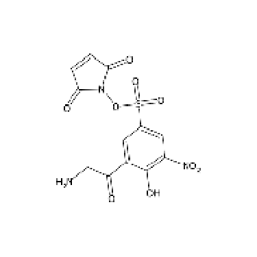 NCC(=O)c1cc(S(=O)(=O)ON2C(=O)C=CC2=O)cc([N+](=O)[O-])c1O